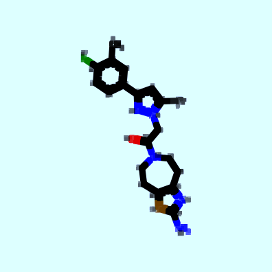 Cc1cc(-c2cc(C(C)C)n(CC(=O)N3CCc4nc(N)sc4CC3)n2)ccc1F